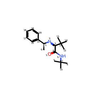 C[C@H](N=C(C(=O)NC(C)(C)C)C(C)(C)C)c1ccccc1